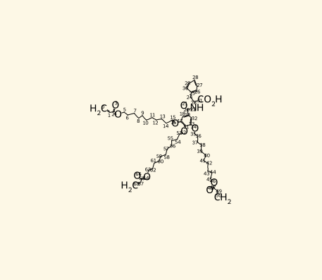 C=CC(=O)OCCCCCCCCCCCOc1cc(C(=O)N[C@@H](Cc2ccccc2)C(=O)O)cc(OCCCCCCCCCCCOC(=O)C=C)c1OCCCCCCCCCCCOC(=O)C=C